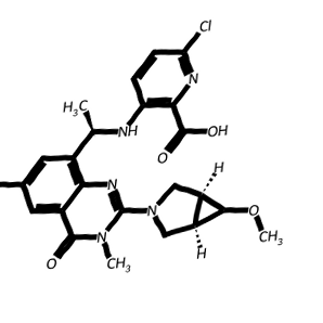 COC1[C@H]2CN(c3nc4c([C@@H](C)Nc5ccc(Cl)nc5C(=O)O)cc(F)cc4c(=O)n3C)C[C@@H]12